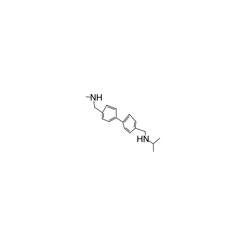 CNCc1ccc(-c2ccc(CNC(C)C)cc2)cc1